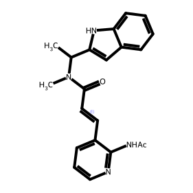 CC(=O)Nc1ncccc1/C=C/C(=O)N(C)C(C)c1cc2ccccc2[nH]1